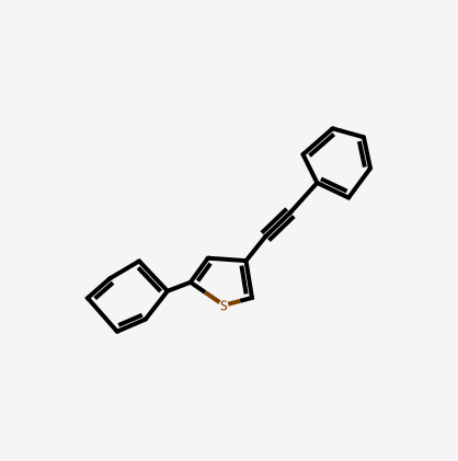 C(#Cc1csc(-c2ccccc2)c1)c1ccccc1